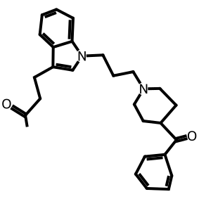 CC(=O)CCc1cn(CCCN2CCC(C(=O)c3ccccc3)CC2)c2ccccc12